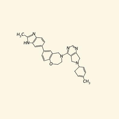 CC1=CCC(N2Cc3ncnc(N4CCOc5ccc(-c6ccc7nc(C)[nH]c7c6)cc5C4)c3C2)C=C1